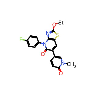 CCOc1nc2c(cc(-c3ccc(=O)n(C)c3)c(=O)n2-c2ccc(F)cc2)s1